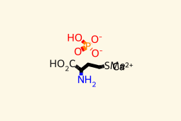 CSCCC(N)C(=O)O.O=P([O-])([O-])O.[Ca+2]